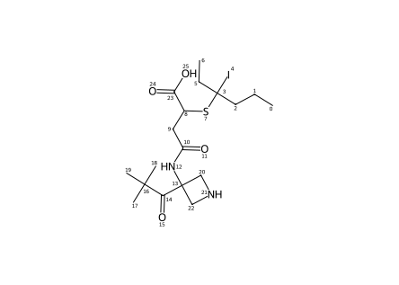 CCCC(I)(CC)SC(CC(=O)NC1(C(=O)C(C)(C)C)CNC1)C(=O)O